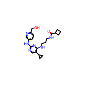 O=C(NCCCNc1nc(Nc2ccc(CO)nc2)ncc1C1CC1)C1CCC1